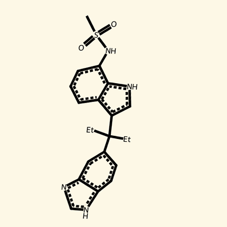 CCC(CC)(c1ccc2[nH]cnc2c1)c1c[nH]c2c(NS(C)(=O)=O)cccc12